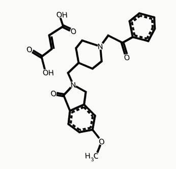 COc1ccc2c(c1)CN(CC1CCN(CC(=O)c3ccccc3)CC1)C2=O.O=C(O)C=CC(=O)O